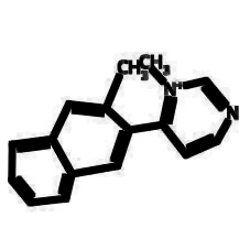 Cc1cc2ccccc2cc1-c1ccnc[n+]1C